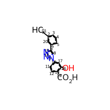 C#Cc1cccc(-c2cn(-c3ccc(C(=O)O)c(O)c3)nn2)c1